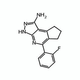 Nc1n[nH]c2nc(-c3ccccc3F)c3c(c12)CCC3